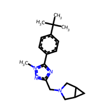 Cn1nc(CN2CC3CC3C2)nc1-c1ccc(C(C)(C)C)cc1